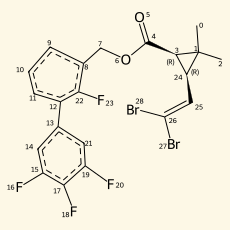 CC1(C)[C@H](C(=O)OCc2cccc(-c3cc(F)c(F)c(F)c3)c2F)[C@@H]1C=C(Br)Br